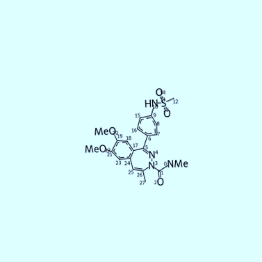 CNC(=O)N1N=C(c2ccc(NS(C)(=O)=O)cc2)c2cc(OC)c(OC)cc2C=C1C